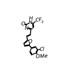 COc1ccc(-c2ccc(C=Cc3cc(C(F)(F)F)[nH]c(=O)n3)o2)cc1Cl